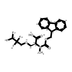 CN(C(=O)OCC1c2ccccc2-c2ccccc21)[C@@H](COCC(F)(F)C(F)F)C(=O)O